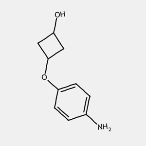 Nc1ccc(OC2CC(O)C2)cc1